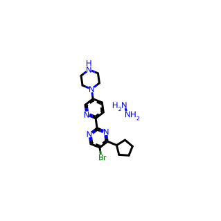 Brc1cnc(-c2ccc(N3CCNCC3)cn2)nc1C1CCCC1.NN